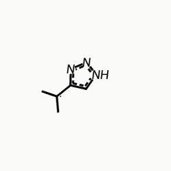 C[C](C)c1c[nH]nn1